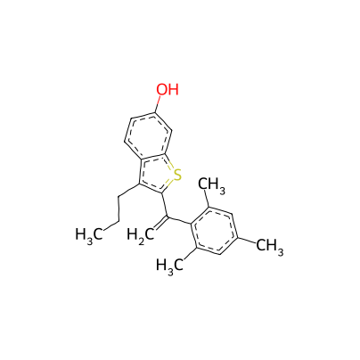 C=C(c1sc2cc(O)ccc2c1CCC)c1c(C)cc(C)cc1C